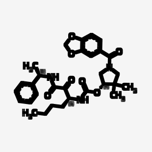 CCCC[C@H](NC(=O)O[C@@H]1CN(C(=O)c2ccc3c(c2)OCO3)CC1(C)C)C(=O)C(=O)N[C@H](C)c1ccccc1